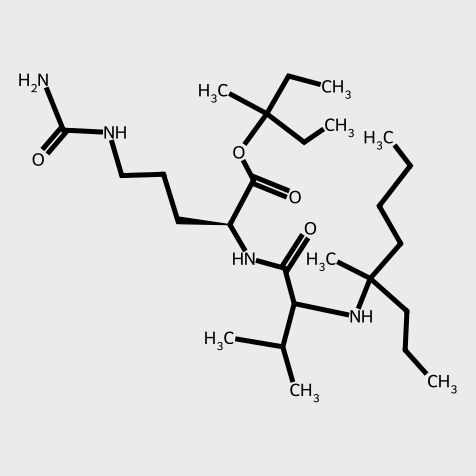 CCCCC(C)(CCC)NC(C(=O)N[C@@H](CCCNC(N)=O)C(=O)OC(C)(CC)CC)C(C)C